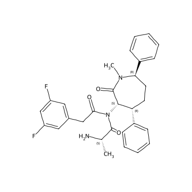 C[C@H](N)C(=O)N(C(=O)Cc1cc(F)cc(F)c1)[C@@H]1C(=O)N(C)[C@@H](c2ccccc2)CC[C@@H]1c1ccccc1